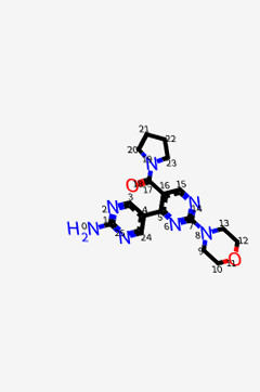 Nc1ncc(-c2nc(N3CCOCC3)ncc2C(=O)N2CCCC2)cn1